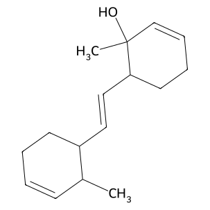 CC1C=CCCC1C=CC1CCC=CC1(C)O